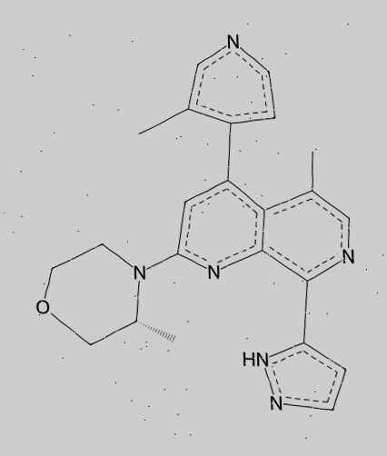 Cc1cnccc1-c1cc(N2CCOC[C@H]2C)nc2c(-c3ccn[nH]3)ncc(C)c12